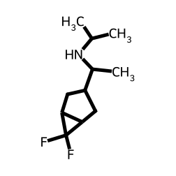 CC(C)NC(C)C1CC2C(C1)C2(F)F